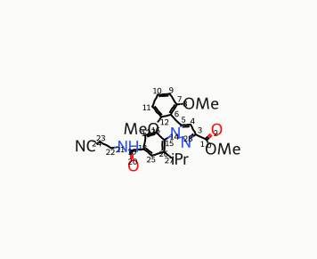 COC(=O)c1cc(-c2c(OC)cccc2OC)n(-c2ccc(C(=O)NCCC#N)cc2C(C)C)n1